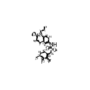 CCCN1C(=O)CCc2cc(NS(=O)(=O)Cc3ccc(C)c(F)c3F)ccc21